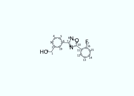 OCc1cccc(-c2noc(-c3ccccc3F)n2)c1